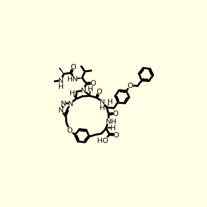 CN[C@@H](C)C(=O)N[C@H](C(=O)N1C[C@@H]2C[C@H]1C(=O)N[C@@H](Cc1ccc(OCc3ccccc3)cc1)C(=O)N[C@H](C(=O)O)Cc1ccc(cc1)OCc1cn2nn1)C(C)C